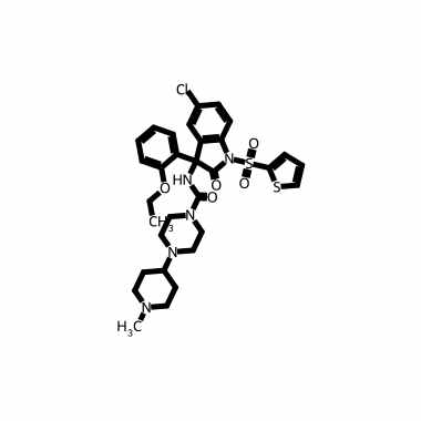 CCOc1ccccc1C1(NC(=O)N2CCN(C3CCN(C)CC3)CC2)C(=O)N(S(=O)(=O)c2cccs2)c2ccc(Cl)cc21